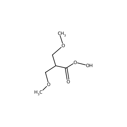 COCC(COC)C(=O)OO